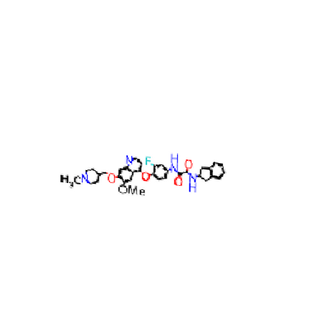 COc1cc2c(Oc3ccc(NC(=O)C(=O)NC4Cc5ccccc5C4)cc3F)ccnc2cc1OCC1CCN(C)CC1